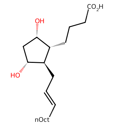 CCCCCCCC/C=C/C[C@@H]1[C@@H](CCCC(=O)O)[C@@H](O)C[C@H]1O